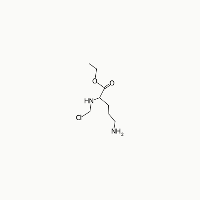 CCOC(=O)C(CCCN)NCCl